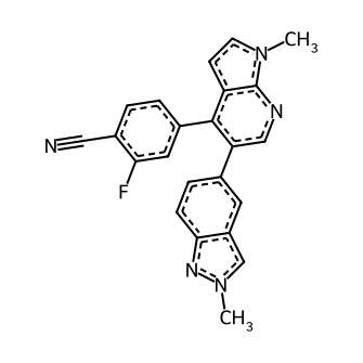 Cn1cc2cc(-c3cnc4c(ccn4C)c3-c3ccc(C#N)c(F)c3)ccc2n1